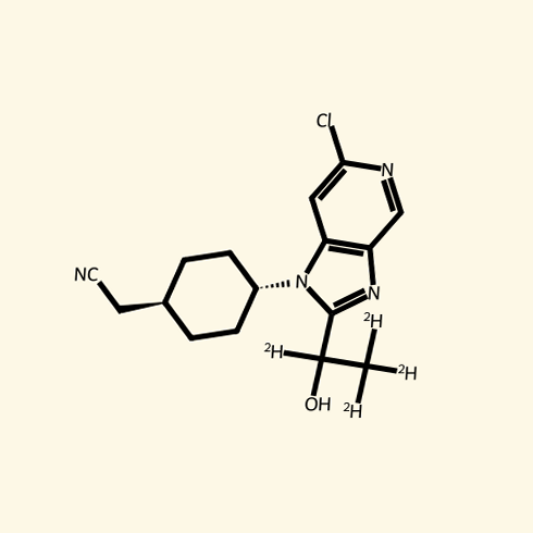 [2H]C([2H])([2H])C([2H])(O)c1nc2cnc(Cl)cc2n1[C@H]1CC[C@H](CC#N)CC1